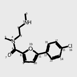 CNCCN(C)C(=O)c1ccc(-c2ccc(Cl)cc2)o1